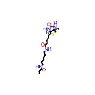 CCC(=O)NCCCCCCNC(=O)CCCCC1SC[C@@H]2NC(=O)N[C@H]12